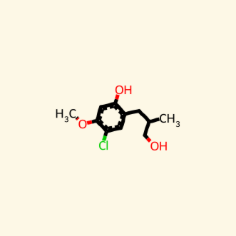 COc1cc(O)c(CC(C)CO)cc1Cl